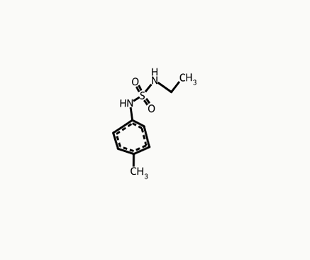 CCNS(=O)(=O)Nc1ccc(C)cc1